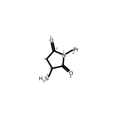 CC(C)N1C(=O)CC([SiH3])C1=O